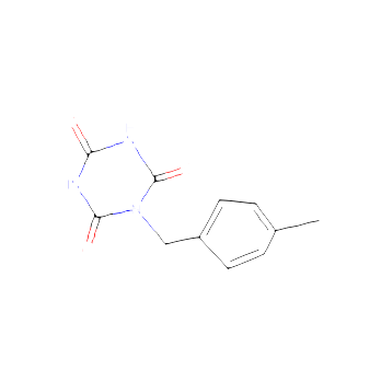 Cc1ccc(Cn2c(=O)[nH]c(=O)[nH]c2=O)cc1